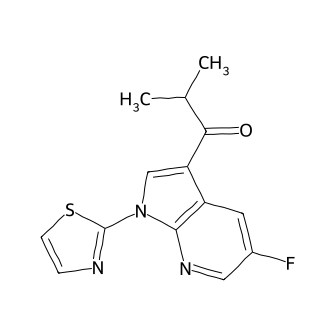 CC(C)C(=O)c1cn(-c2nccs2)c2ncc(F)cc12